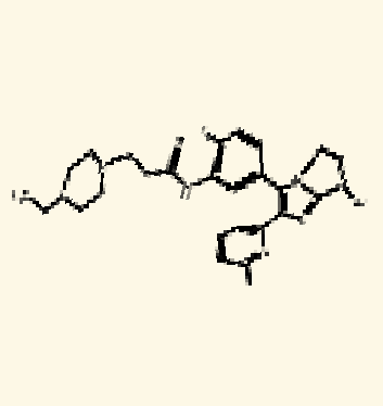 CC(=O)N1CCn2c1nc(-c1cccc(C)n1)c2-c1ccc(F)c(NC(=O)CCN2CCN(CC(F)(F)F)CC2)c1